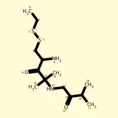 CCSSCC(N)C(=O)C(C)(C)NCC(=O)C(C)C